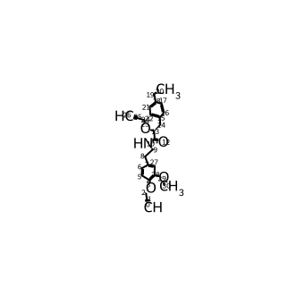 C#CCOc1ccc(CCNC(=O)[C@H](Cc2ccc(CC)cc2)OCC#C)cc1OC